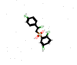 O=S(=O)(CC(Cl)c1ccc(Br)cc1)c1cc(Cl)ccc1Cl